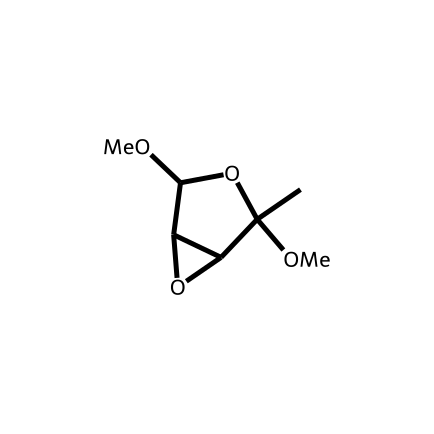 COC1OC(C)(OC)C2OC12